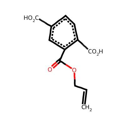 C=CCOC(=O)c1cc(C(=O)O)ccc1C(=O)O